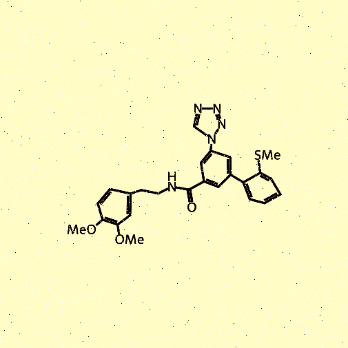 COc1ccc(CCNC(=O)c2cc(-c3ccccc3SC)cc(-n3cnnn3)c2)cc1OC